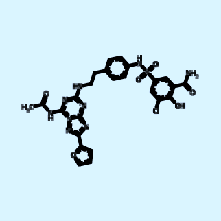 CC(=O)Nc1nc(NCCc2ccc(NS(=O)(=O)c3cc(Cl)c(O)c(C(N)=O)c3)cc2)nc2nc(-c3ccco3)nn12